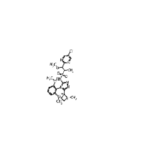 COc1cccc(OC)c1-n1c(NS(=O)(=O)C(C)C(OC)c2ncc(Cl)cn2)nnc1[C@@H]1CC[C@H]1C